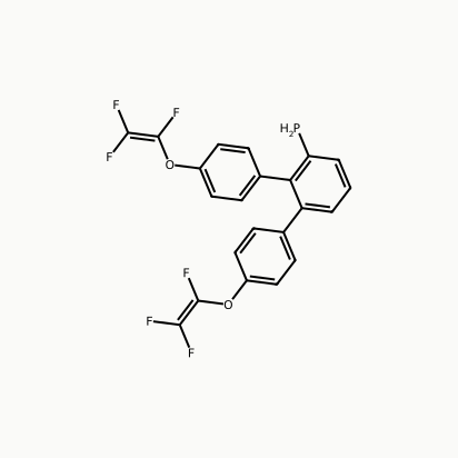 FC(F)=C(F)Oc1ccc(-c2cccc(P)c2-c2ccc(OC(F)=C(F)F)cc2)cc1